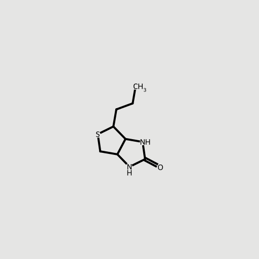 CCCC1SCC2NC(=O)NC21